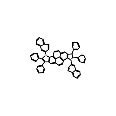 c1ccc(-c2c(-c3ccccc3)n(-c3ccc4ccccc4c3)c3c2cc2ccc4c5c(cc6ccc3c2c64)C(c2ccccc2)C(c2ccccc2)N5c2ccc3ccccc3c2)cc1